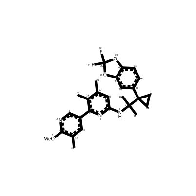 COc1ncc(-c2nc(NC(C)(C)C3(c4ccc5c(c4)OC(F)(F)O5)CC3)cc(C)c2C)cc1C